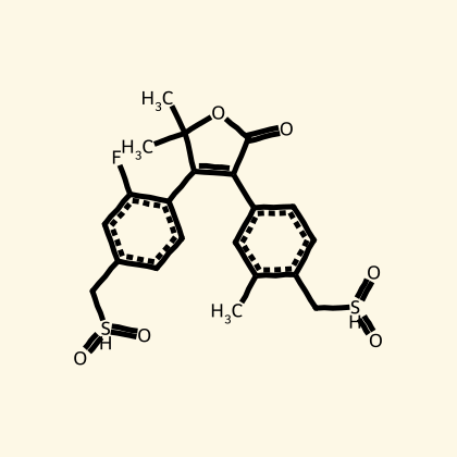 Cc1cc(C2=C(c3ccc(C[SH](=O)=O)cc3F)C(C)(C)OC2=O)ccc1C[SH](=O)=O